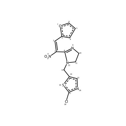 O=[N+]([O-])C(=Cc1ccco1)C1=NCCN1Cc1cnc(Cl)s1